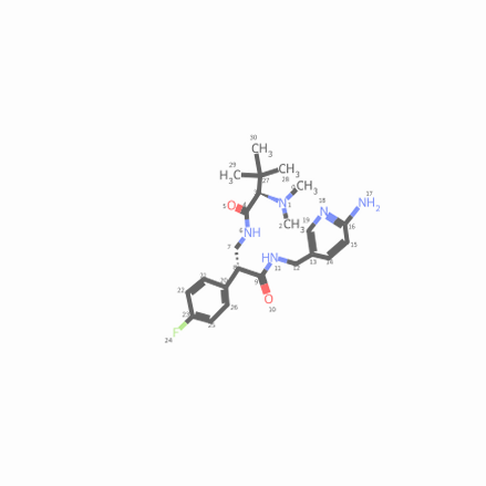 CN(C)[C@@H](C(=O)NC[C@H](C(=O)NCc1ccc(N)nc1)c1ccc(F)cc1)C(C)(C)C